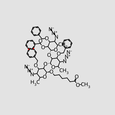 COC(=O)CCCCCO[C@H]1OC(C)C(N=[N+]=[N-])C(OCc2ccccc2)C1O[C@H]1OC(C)C(N=[N+]=[N-])C(OCc2ccccc2)C1O[C@H]1OC(C)C(N=[N+]=[N-])C(OCc2ccccc2)C1OC(=O)c1ccccc1